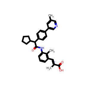 C/C(=C\c1cccc(NC(=O)C(c2ccc(-c3cncc(C)c3)cc2)C2CCCC2)c1C)C(=O)O